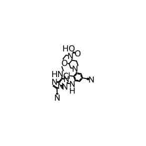 CCNc1nc(Nc2cc(C#N)cc(N3CCC4C(C3)OCCN4C(=O)O)c2Cl)nn2c(C#N)cnc12